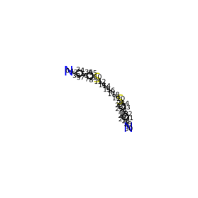 N#Cc1ccc(-c2ccc(SCCCCCCCCCSc3ccc(-c4ccc(C#N)cc4)cc3)cc2)cc1